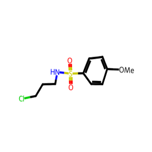 COc1ccc(S(=O)(=O)NCCCCl)cc1